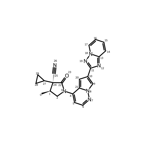 C[C@@H]1CN(c2ccnn3cc(-c4nc5ccccn5n4)cc23)C(=O)[C@]1(C#N)C1CC1